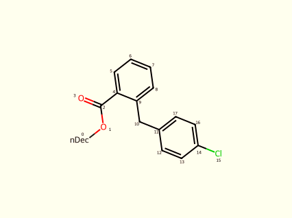 CCCCCCCCCCOC(=O)c1ccccc1Cc1ccc(Cl)cc1